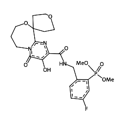 COP(=O)(OC)c1cc(F)ccc1CNC(=O)c1nc2n(c(=O)c1O)CCCOC21CCOCC1